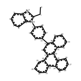 CCc1nc2ccccc2n1-c1ccc(-c2cc3c4ccccc4c4ccccc4c3c3ccccc23)cc1